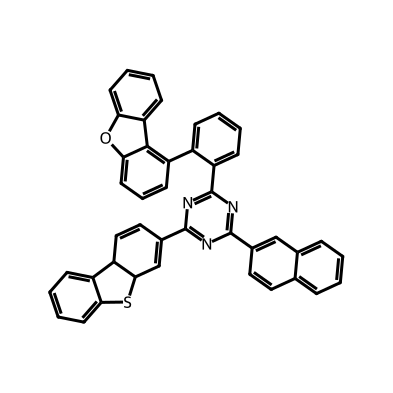 C1=CC2c3ccccc3SC2C=C1c1nc(-c2ccc3ccccc3c2)nc(-c2ccccc2-c2cccc3oc4ccccc4c23)n1